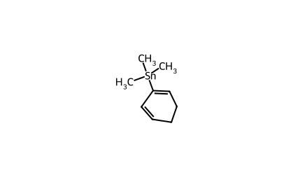 [CH3][Sn]([CH3])([CH3])[C]1=CCCC=C1